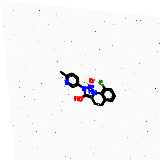 Cc1ccc(N2C(O)=C3CCc4cccc(F)c4N3[NH+]2[O-])cn1